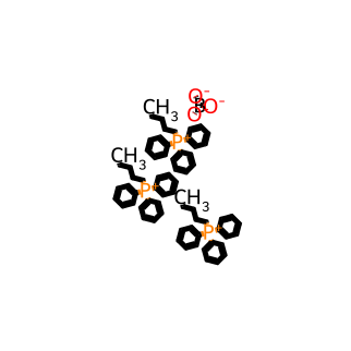 CCCCC[P+](c1ccccc1)(c1ccccc1)c1ccccc1.CCCCC[P+](c1ccccc1)(c1ccccc1)c1ccccc1.CCCCC[P+](c1ccccc1)(c1ccccc1)c1ccccc1.[O-]B([O-])[O-]